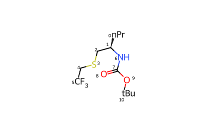 CCC[C@H](CSCC(F)(F)F)NC(=O)OC(C)(C)C